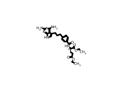 CCOC(=O)CC[C@@H](NC(=O)c1ccc(CCCc2c[nH]c3nc(N)nc(N)c23)cc1)C(=O)OCC